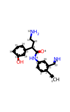 C#Cc1ccc(NC(=O)C(CCN)c2cccc(O)c2)cc1C=N